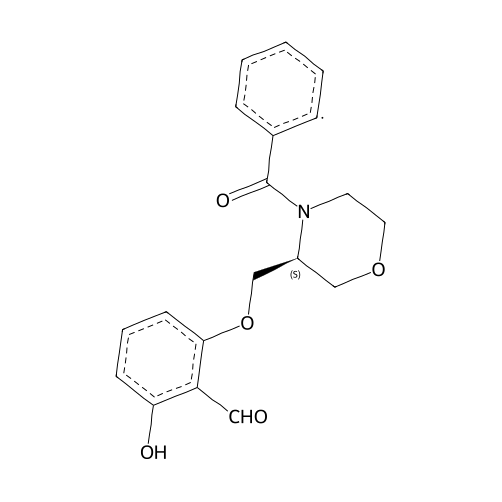 O=Cc1c(O)cccc1OC[C@@H]1COCCN1C(=O)c1[c]cccc1